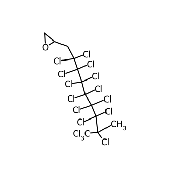 CC(Cl)(C(Cl)(Cl)Cl)C(Cl)(Cl)C(Cl)(Cl)C(Cl)(Cl)C(Cl)(Cl)C(Cl)(Cl)C(Cl)(Cl)CC1CO1